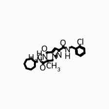 CN1C(=O)c2cc(C(=O)NCc3ccccc3Cl)nn2CC1(C)C(=O)NC1CCCCCC1